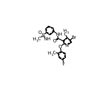 Cc1cc(F)ccc1Oc1ncc(Br)c(C)c1C(=O)Nc1cccc([S@](C)(=N)=O)c1